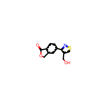 O=C1OCc2cc(-c3nscc3CO)ccc21